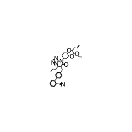 C=CCC(O[C@H]1CC[C@H](n2c(=O)c(Cc3ccc(-c4ccccc4C#N)cc3)c(CCC)n3ncnc32)CC1)C(=O)OCC